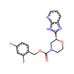 O=C(OCc1ccc(F)cc1F)N1CCO[C@H](c2nc3cccnc3[nH]2)C1